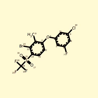 Cc1c(Oc2cc(F)cc(Cl)c2)ccc(S(=O)(=O)C(F)(F)F)c1Br